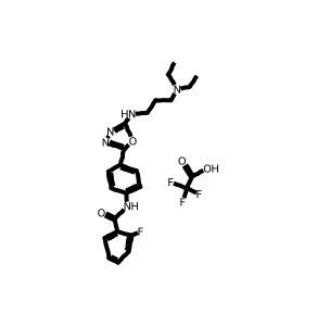 CCN(CC)CCCNc1nnc(-c2ccc(NC(=O)c3ccccc3F)cc2)o1.O=C(O)C(F)(F)F